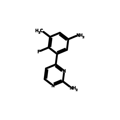 Cc1cc(N)cc(-c2ccnc(N)n2)c1F